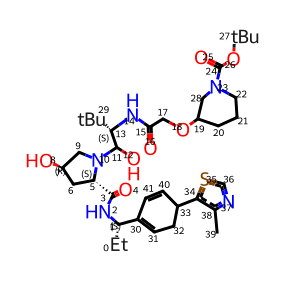 CC[C@H](NC(=O)[C@@H]1C[C@@H](O)CN1C(O)[C@@H](NC(=O)COC1CCCN(C(=O)OC(C)(C)C)C1)C(C)(C)C)C1=CCC(c2scnc2C)C=C1